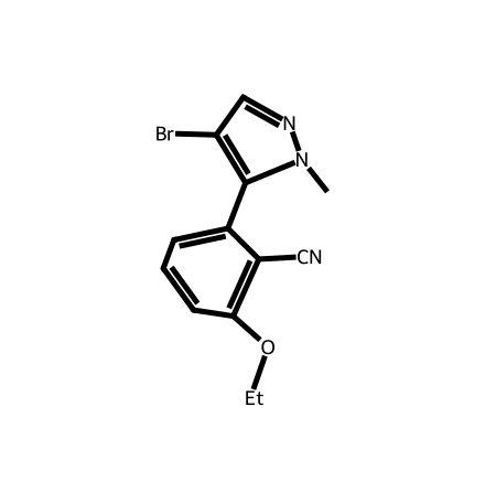 CCOc1cccc(-c2c(Br)cnn2C)c1C#N